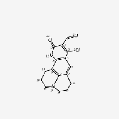 O=Cc1c(Cl)c2cc3c4c(c2oc1=O)CCCN4CCC3